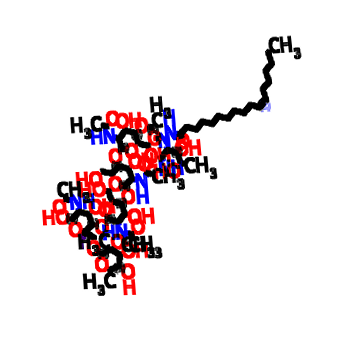 CCCCCC/C=C\CCCCCCCCCC(=O)NN(O[C@H](C)O[C@@H]1C(CO)O[C@@H](O[C@@H]2C(CO)O[C@@H](O[C@@H]3C(CO)O[C@@H](O[C@H]4C(O)C(NC(C)=O)[C@H](O)OC4(I)CO[C@@H]4OC(C)[C@@H](O)C(O)C4(C)OC)C(NC(C)=O)C3O)C(NC(C)=O)C2O)C(NC(C)=O)C1O)C(C=N)[C@@H](O)C(C)O